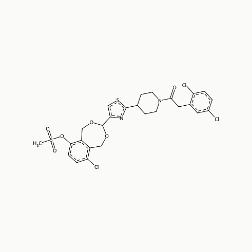 CS(=O)(=O)Oc1ccc(Cl)c2c1COC(c1csc(C3CCN(C(=O)Cc4cc(Cl)ccc4Cl)CC3)n1)OC2